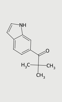 CC(C)(C)C(=O)c1ccc2cc[nH]c2c1